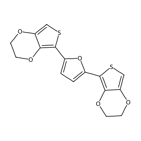 c1cc(-c2scc3c2OCCO3)oc1-c1scc2c1OCCO2